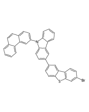 Brc1ccc2c(c1)sc1ccc(-c3ccc4c(c3)c3ccccc3n4-c3ccc4ccc5ccccc5c4c3)cc12